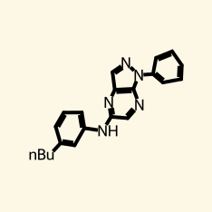 CCCCc1cccc(Nc2cnc3c(cnn3-c3ccccc3)n2)c1